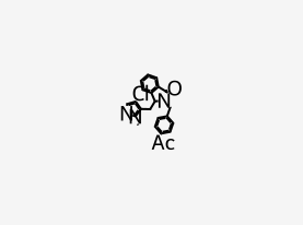 CC(=O)c1ccc(CN2C(=O)c3ccccc3C2Cc2c(Cl)cnn2C)cc1